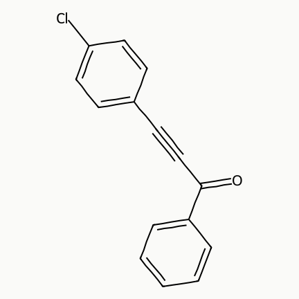 O=C(C#Cc1ccc(Cl)cc1)c1ccccc1